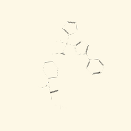 CN(C(=O)OC(C)(C)C)[C@H]1CC[C@H](OC(=O)[C@](O)(c2cccs2)c2ccc(-c3ccccc3)s2)CC1